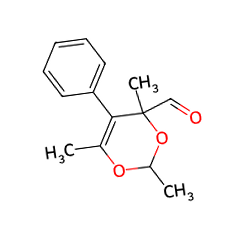 CC1=C(c2ccccc2)C(C)(C=O)OC(C)O1